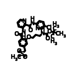 CC(C)(C)OC(=O)NCCCOc1cc(CS(C)(=O)=O)ccc1C(=O)Nc1cccnc1C(=O)Nc1ccc(Cl)cn1